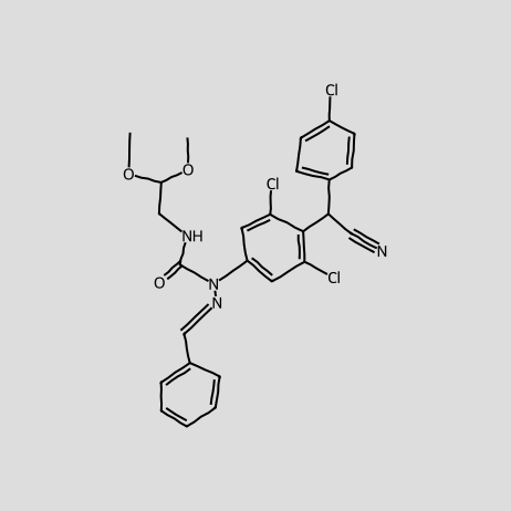 COC(CNC(=O)N(/N=C/c1ccccc1)c1cc(Cl)c(C(C#N)c2ccc(Cl)cc2)c(Cl)c1)OC